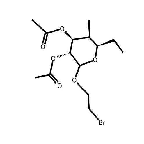 CC[C@H]1OC(OCCBr)[C@H](OC(C)=O)[C@@H](OC(C)=O)[C@H]1C